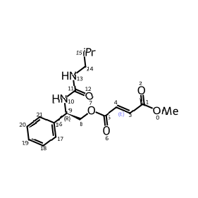 COC(=O)/C=C/C(=O)OC[C@H](NC(=O)NCC(C)C)c1ccccc1